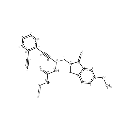 COc1ccc2c(c1)C(=O)N(C[C@@H](C#Cc1cccnc1C#N)NC(=O)NC=O)C2